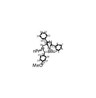 CCCCn1c(-c2ccccc2)nc(-c2ccccc2)c1CN(CCC)Cc1ccc(OC)cc1